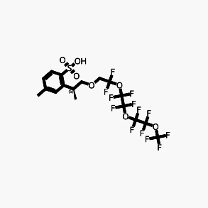 Cc1ccc(S(=O)(=O)O)c([C@H](C)COCC(F)(F)OC(F)(F)C(F)(F)OC(F)(F)C(F)(F)OC(F)(F)F)c1